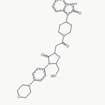 CC(C)(C)CC1SC(CC(=O)N2CCC(n3c(=O)[nH]c4ncccc43)CC2)C(=O)N1c1ccc(N2CCOCC2)cc1